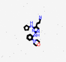 N#CC=Cc1cnc(Nc2ccccc2N2CCOCC2)nc1NC1CCCC1